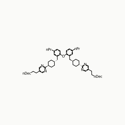 CCCCCCCCCCCCc1cnc([C@H]2CC[C@H](Cc3cc(CCC)ccc3Oc3ccc(CCC)cc3C[C@H]3CC[C@H](c4ncc(CCCCCCCCCCCC)cn4)CC3)CC2)nc1